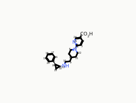 O=C(O)c1ccc(N2CCC(CCN[C@@H]3C[C@H]3c3ccccc3)CC2)nc1